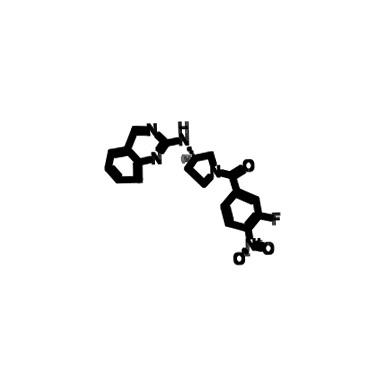 O=C(c1ccc([N+](=O)[O-])c(F)c1)N1CC[C@H](Nc2ncc3ccccc3n2)C1